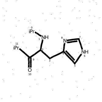 CC(C)NC(Cc1c[nH]cn1)C(=O)C(C)C